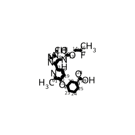 Cc1nc(-c2nnn(C)c2NC(=O)OCC(C)F)ccc1O[C@H]1CCC[C@H](C(=O)O)C1